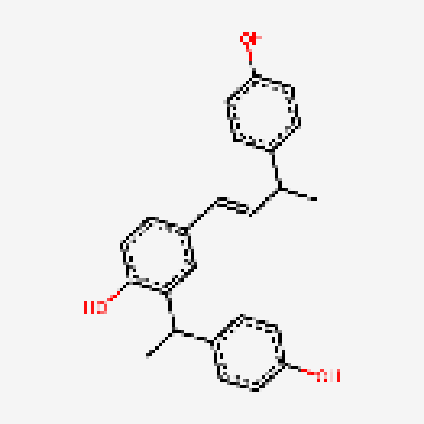 CC(/C=C/c1ccc(O)c(C(C)c2ccc(O)cc2)c1)c1ccc(O)cc1